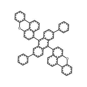 c1ccc(-c2ccc3c(-c4ccc5c6c(cccc46)-c4ccccc4O5)c4cc(-c5ccccc5)ccc4c(-c4ccc5c6c(cccc46)-c4ccccc4O5)c3c2)cc1